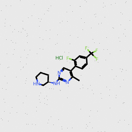 Cc1nc(N[C@@H]2CCCNC2)ncc1-c1ccc(C(F)(F)F)cc1F.Cl